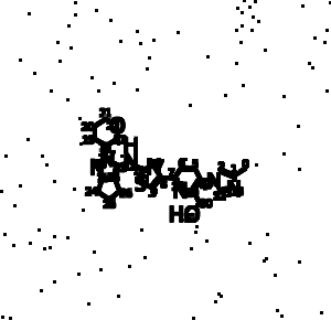 Cc1cn(-c2ccc(-c3csc(Nc4c5c(nn4C4CCCOC4)CCC5)n3)nc2CO)cn1